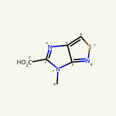 Cn1c(C(=O)O)nc2csnc21